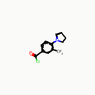 O=C(Cl)c1ccc(N2CCCC2)c(C(F)(F)F)c1